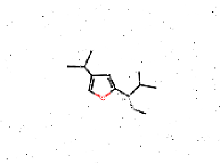 CC[C@H](c1cc(C(C)C)co1)C(C)C